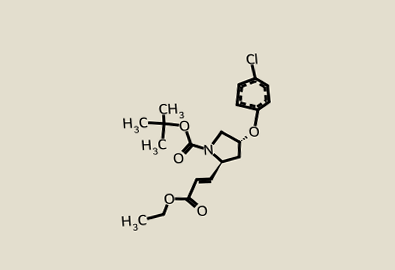 CCOC(=O)/C=C/[C@@H]1C[C@@H](Oc2ccc(Cl)cc2)CN1C(=O)OC(C)(C)C